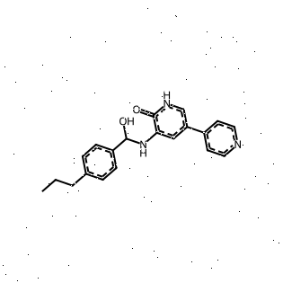 CCCc1ccc(C(O)Nc2cc(-c3ccncc3)c[nH]c2=O)cc1